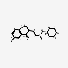 CN(CCC1COc2ccc(F)cc2C1=O)CC1CCCCC1